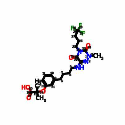 Cn1nc(NCCCCc2cccc(OC(C)(C)C(=O)O)c2)c(=O)n(CCCC(F)(F)F)c1=O